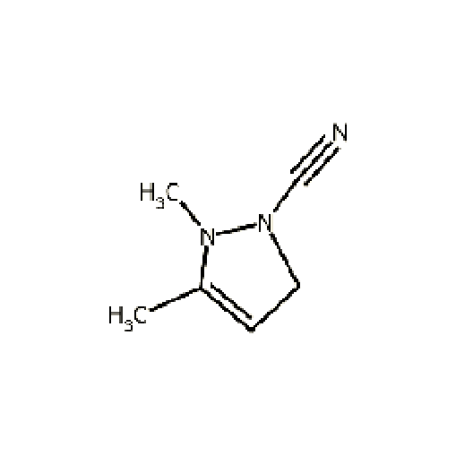 CC1=CCN(C#N)N1C